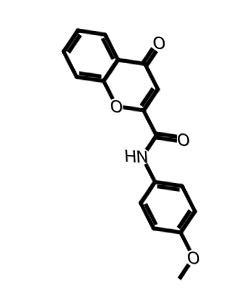 COc1ccc(NC(=O)c2cc(=O)c3ccccc3o2)cc1